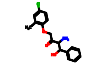 Cc1cc(Cl)ccc1OCC(=O)C(N)C(O)c1ccccc1